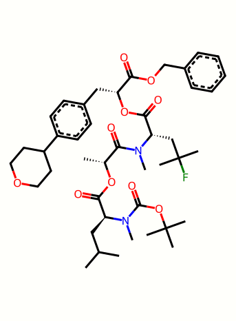 CC(C)C[C@@H](C(=O)O[C@H](C)C(=O)N(C)[C@@H](CC(C)(C)F)C(=O)O[C@H](Cc1ccc(C2CCOCC2)cc1)C(=O)OCc1ccccc1)N(C)C(=O)OC(C)(C)C